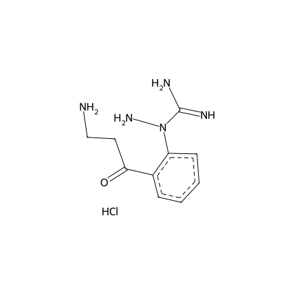 Cl.N=C(N)N(N)c1ccccc1C(=O)CCN